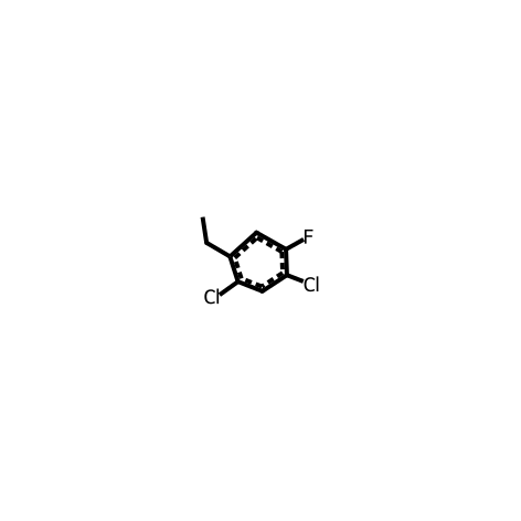 CCc1cc(F)c(Cl)cc1Cl